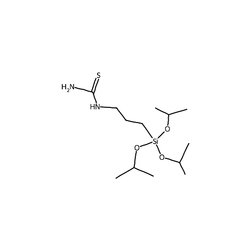 CC(C)O[Si](CCCNC(N)=S)(OC(C)C)OC(C)C